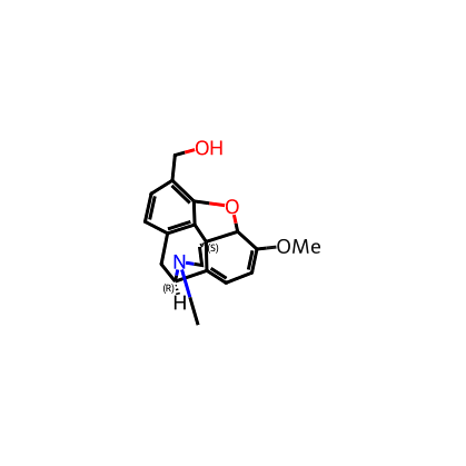 COC1=CC=C2[C@H]3Cc4ccc(CO)c5c4[C@@]2(CCN3C)C1O5